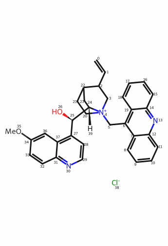 C=CC1C[N+]2(Cc3c4ccccc4nc4ccccc34)CCC1C[C@H]2[C@H](O)c1ccnc2ccc(OC)cc12.[Cl-]